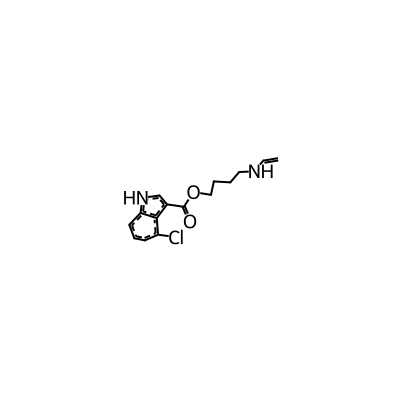 C=CNCCCCOC(=O)c1c[nH]c2cccc(Cl)c12